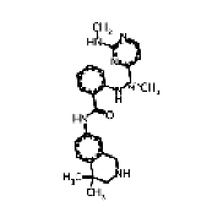 CNc1nccc([C@H](C)Nc2ccccc2C(=O)Nc2ccc3c(c2)CNCC3(C)C)n1